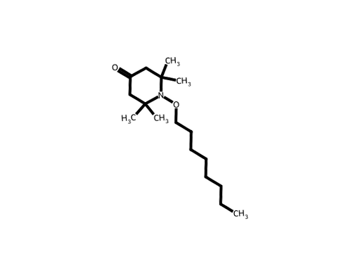 CCCCCCCCON1C(C)(C)CC(=O)CC1(C)C